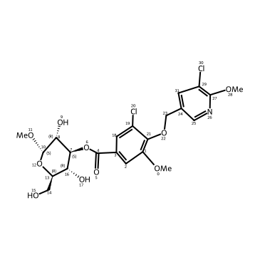 COc1cc(C(=O)O[C@@H]2[C@@H](O)[C@@H](OC)O[C@H](CO)[C@H]2O)cc(Cl)c1OCc1cnc(OC)c(Cl)c1